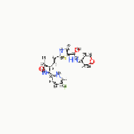 Cc1nc(CCc2c(-c3ccc(F)cn3)noc2C)sc1C(=O)NC1CCOCC1